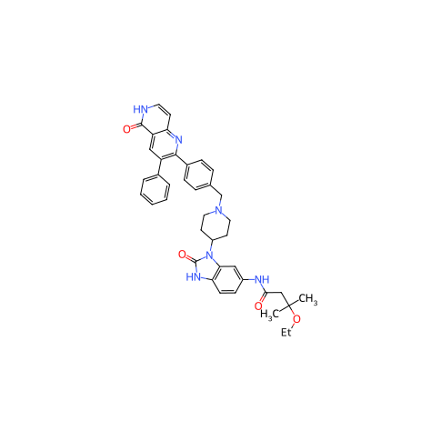 CCOC(C)(C)CC(=O)Nc1ccc2[nH]c(=O)n(C3CCN(Cc4ccc(-c5nc6cc[nH]c(=O)c6cc5-c5ccccc5)cc4)CC3)c2c1